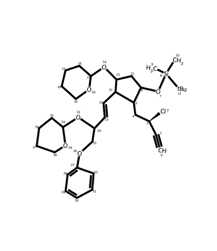 C#C[C@H](Cl)CC1C(O[Si](C)(C)C(C)(C)C)CC(OC2CCCCO2)C1C=CC(COc1ccccc1)OC1CCCCO1